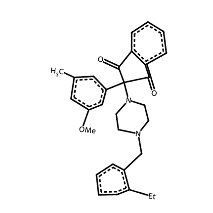 CCc1ccccc1CN1CCN(C2(c3cc(C)cc(OC)c3)C(=O)c3ccccc3C2=O)CC1